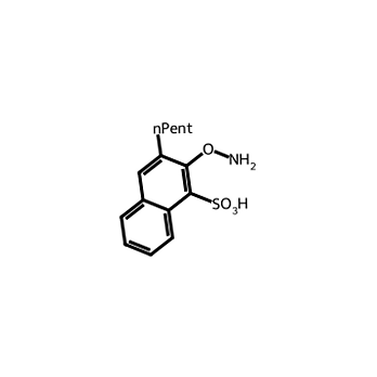 CCCCCc1cc2ccccc2c(S(=O)(=O)O)c1ON